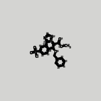 COC(=O)c1c(OCc2ccccc2)c2ccc(S(=O)(=O)Cl)cc2c2ncnn12